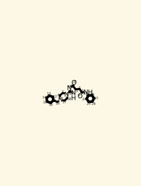 O=C(CC1NC(N2CCN(Cc3ccccc3)CC2)=NC1=O)Nc1ccccc1